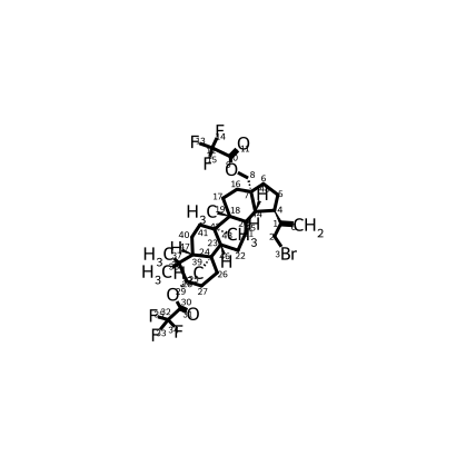 C=C(CBr)[C@@H]1CC[C@]2(COC(=O)C(F)(F)F)CC[C@]3(C)[C@H](CC[C@@H]4[C@@]5(C)CC[C@H](OC(=O)C(F)(F)F)C(C)(C)[C@@H]5CC[C@]43C)[C@@H]12